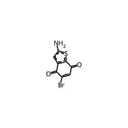 Nc1cc2c(s1)C(=O)C=C(Br)C2=O